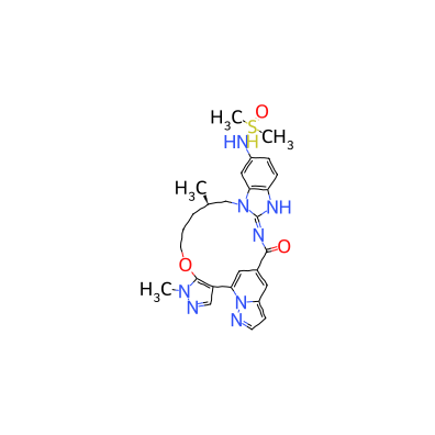 C[C@@H]1CCCOc2c(cnn2C)-c2cc(cc3ccnn23)C(=O)/N=C2\Nc3ccc(N[SH](C)(C)=O)cc3N2C1